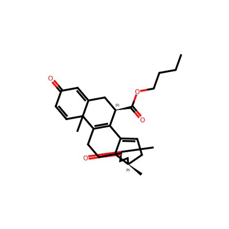 CCCCOC(=O)[C@@H]1CC2=CC(=O)C=CC2(C)C2=C1C1=CC[C@@]3(C)CCC(=O)C13CC2